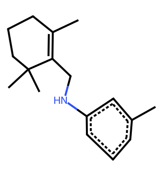 CC1=C(CNc2cccc(C)c2)C(C)(C)CCC1